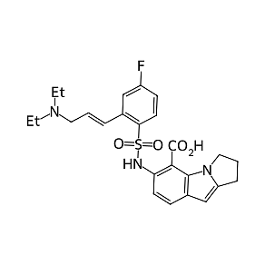 CCN(CC)CC=Cc1cc(F)ccc1S(=O)(=O)Nc1ccc2cc3n(c2c1C(=O)O)CCC3